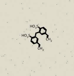 C=Cc1ccc(S(=O)(=O)O)c(Cc2cc(C=C)ccc2S(=O)(=O)O)c1